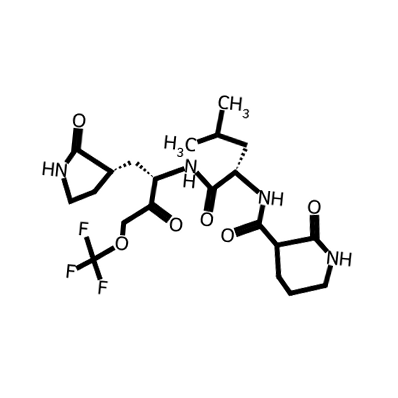 CC(C)C[C@H](NC(=O)C1CCCNC1=O)C(=O)N[C@@H](C[C@@H]1CCNC1=O)C(=O)COC(F)(F)F